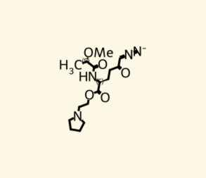 CO[C@@H](C)C(=O)N[C@@H](CCC(=O)C=[N+]=[N-])C(=O)OCCN1CCCC1